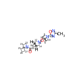 Cc1noc(N2C=C3OCC2CC3N2C[C@@H]3[C@H](C2)[C@H]3C(=O)N2CCC23CCC3)n1